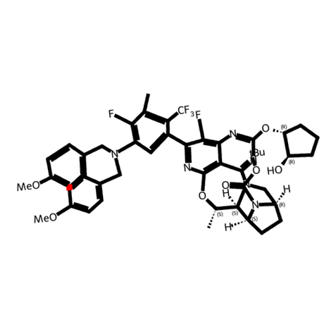 COc1ccc(CN(Cc2ccc(OC)cc2)c2cc(-c3nc4c5c(nc(O[C@@H]6CCC[C@H]6O)nc5c3F)N3C[C@H]5CC[C@@H]([C@H]3[C@H](C)O4)N5C(=O)OC(C)(C)C)c(C(F)(F)F)c(C)c2F)cc1